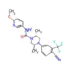 COc1ccc(NC(=O)N2C[C@H](C)N(c3ccc(C#N)c(C(F)(F)F)c3)C[C@H]2C)cn1